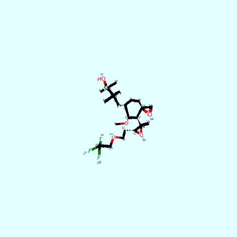 CO[C@@H]1[C@H](CC(C)(C)[Si](C)(C)O)CC[C@]2(CO2)[C@H]1C1(C)O[C@@H]1CCOCC(F)(F)F